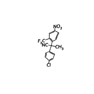 CC(C#N)(c1ccc(Cl)cc1)c1ccc([N+](=O)[O-])cc1C(F)(F)F